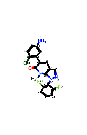 Cn1c(=O)c(-c2cc(N)ccc2Cl)cc2cnn(-c3c(F)cccc3F)c21